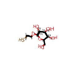 OCC1OC(OCCS)[C@@H](O)[C@@H](O)[C@H]1O